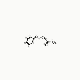 CC(=O)CC(=O)OCOc1ccccc1